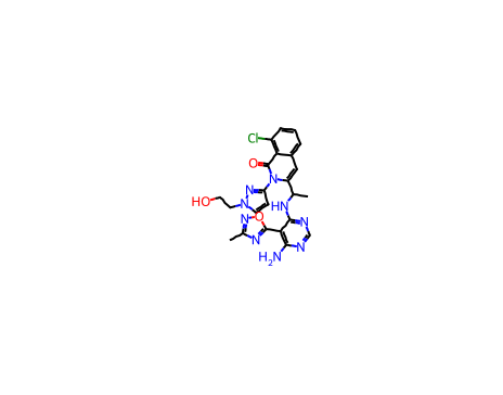 Cc1noc(-c2c(N)ncnc2NC(C)c2cc3cccc(Cl)c3c(=O)n2-c2ccn(CCO)n2)n1